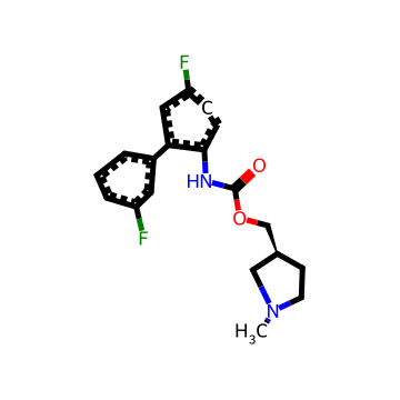 CN1CC[C@H](COC(=O)Nc2ccc(F)cc2-c2cccc(F)c2)C1